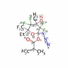 C=C(C)C(=O)OC1(N=[N+]=[N-])OC(CC)(C(F)(F)F)C(F)(F)C(C)(O)C1(F)F